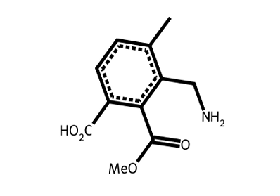 COC(=O)c1c(C(=O)O)ccc(C)c1CN